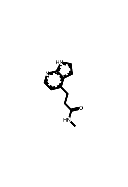 CNC(=O)CCc1ccnc2[nH]ccc12